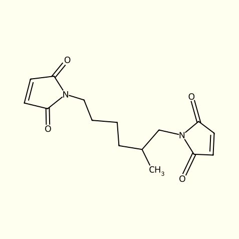 CC(CCCCN1C(=O)C=CC1=O)CN1C(=O)C=CC1=O